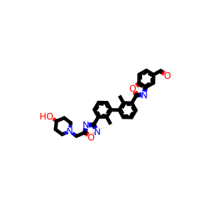 Cc1c(-c2noc(CN3CCC(O)CC3)n2)cccc1-c1cccc(-c2nc3cc(C=O)ccc3o2)c1C